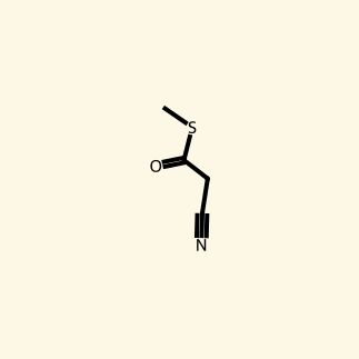 CSC(=O)CC#N